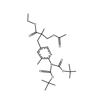 CCOC(=O)C(C)(CSC(C)=O)Cc1cnc(N(C(=O)OC(C)(C)C)C(=O)OC(C)(C)C)c(C)c1